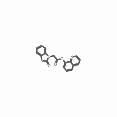 O=C(Cn1c(=O)sc2ccccc21)Oc1cccc2cccnc12